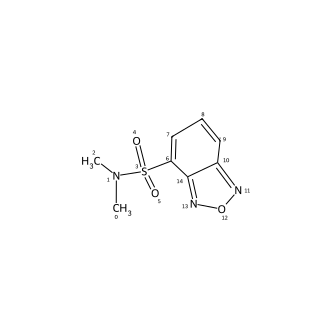 CN(C)S(=O)(=O)c1cc[c]c2nonc12